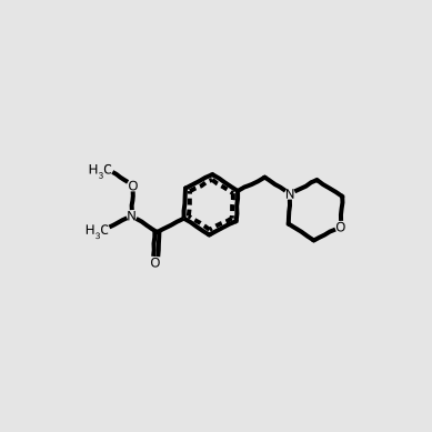 CON(C)C(=O)c1ccc(CN2CCOCC2)cc1